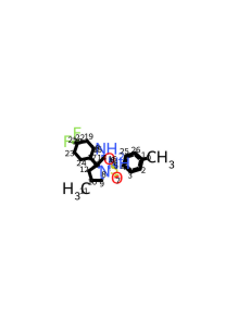 Cc1ccc([S@](=N)(=O)N2CC(C)CC2(C(N)=O)C2CCC(F)(F)CC2)cc1